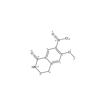 COc1cc2c(cc1[N+](=O)[O-])C(=O)NCC2